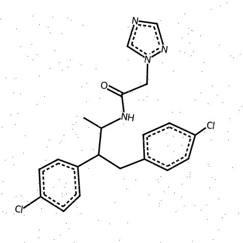 CC(NC(=O)Cn1cncn1)C(Cc1ccc(Cl)cc1)c1ccc(Cl)cc1